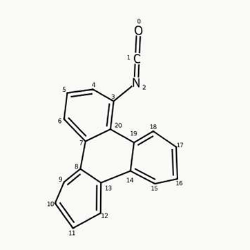 O=C=Nc1cccc2c3ccccc3c3ccccc3c12